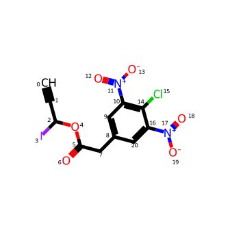 C#CC(I)OC(=O)Cc1cc([N+](=O)[O-])c(Cl)c([N+](=O)[O-])c1